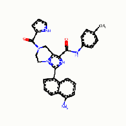 Cc1ccc(NC(=O)c2nc(-c3cccc4c(N)cccc34)n3c2CN(C(=O)c2ccc[nH]2)CC3)cc1